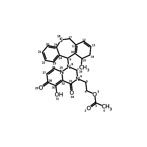 CC(=O)OCCN1CN(C2C3=C(C=CCC3C)CSc3ccccc32)n2ccc(=O)c(O)c2C1=O